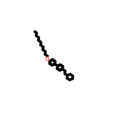 CCCCCCCCCCCCOc1ccc(-c2ccc(CCC3CC[CH]CC3)cc2)cc1